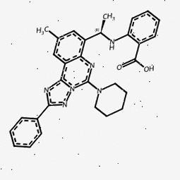 Cc1cc([C@@H](C)Nc2ccccc2C(=O)O)c2nc(N3CCCCC3)n3nc(-c4ccccc4)nc3c2c1